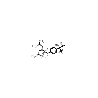 CC(C)CN(CC(C)C)S(=O)(=O)Nc1ccc(C(O)(C(F)(F)F)C(F)(F)F)cc1